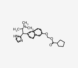 CC(C(c1ccc2cc(OCOC(=O)C3CCCC3)ccc2c1)c1ncc[nH]1)N(C)C